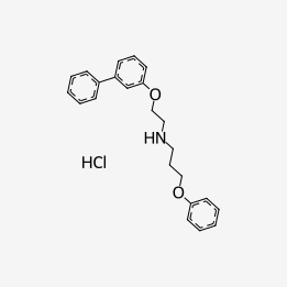 Cl.c1ccc(OCCCNCCOc2cccc(-c3ccccc3)c2)cc1